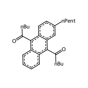 CCCCCc1ccc2c(C(=O)CCCC)c3ccccc3c(C(=O)CCCC)c2c1